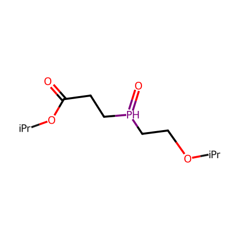 CC(C)OCC[PH](=O)CCC(=O)OC(C)C